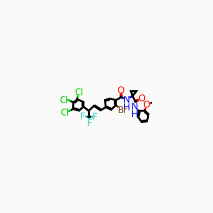 COc1ccccc1NC(=O)C1(NC(=O)c2ccc(/C=C/C(c3cc(Cl)c(Cl)c(Cl)c3)C(F)(F)F)cc2Br)CC1